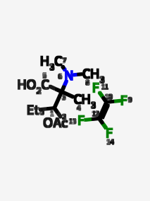 CCC(OC(C)=O)C(C)(C(=O)O)N(C)C.FC(F)=C(F)F